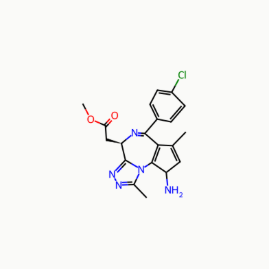 COC(=O)C[C@H]1N=C(c2ccc(Cl)cc2)C2=C(C(N)C=C2C)n2c(C)nnc21